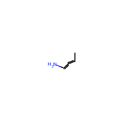 CC=C=[C]N